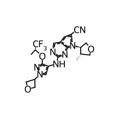 C[C@H]1COC[C@@H]1n1c(C#N)cc2cnc(Nc3cn(C4COC4)nc3O[C@H](C)C(F)(F)F)nc21